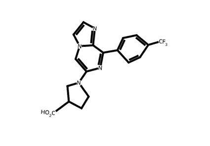 O=C(O)C1CCN(c2cn3ccnc3c(-c3ccc(C(F)(F)F)cc3)n2)C1